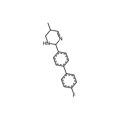 CC1C=NC(c2ccc(-c3ccc(F)cc3)cc2)NC1